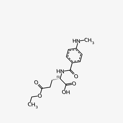 CCOC(=O)CC[C@H](NC(=O)c1ccc(NC)cc1)C(=O)O